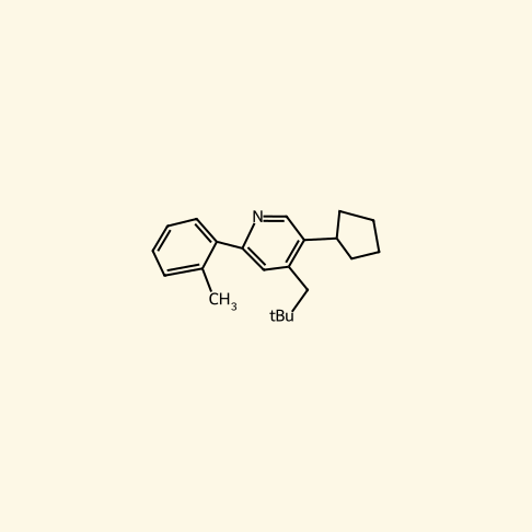 Cc1ccccc1-c1cc(CC(C)(C)C)c(C2CCCC2)cn1